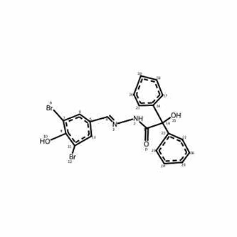 O=C(NN=Cc1cc(Br)c(O)c(Br)c1)C(O)(c1ccccc1)c1ccccc1